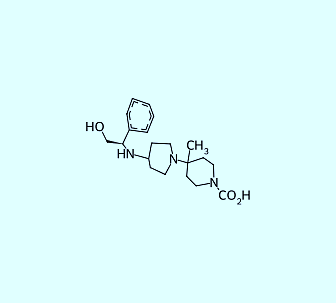 CC1(N2CCC(N[C@@H](CO)c3ccccc3)CC2)CCN(C(=O)O)CC1